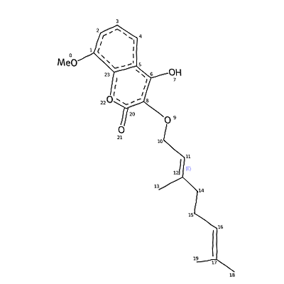 COc1cccc2c(O)c(OC/C=C(\C)CCC=C(C)C)c(=O)oc12